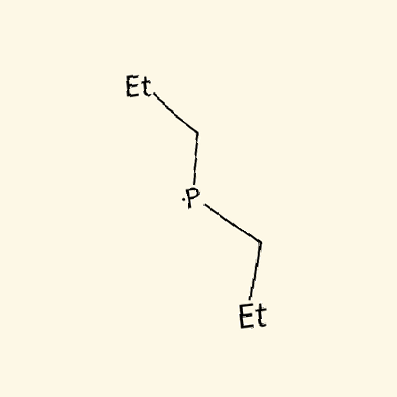 CCC[P]CCC